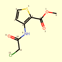 COC(=O)c1sccc1NC(=O)CCl